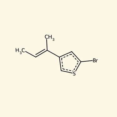 CC=C(C)c1csc(Br)c1